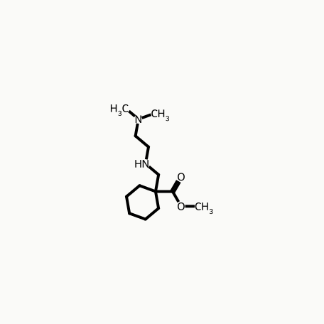 COC(=O)C1(CNCCN(C)C)CCCCC1